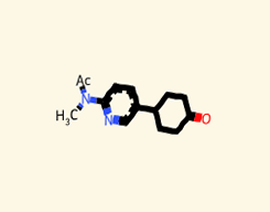 CC(=O)N(C)c1ccc(C2CCC(=O)CC2)cn1